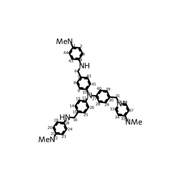 CNc1ccc(NCc2ccc(N(c3ccc(CNc4ccc(NC)cc4)cc3)c3ccc(C[n+]4ccc(NC)cc4)cc3)cc2)cc1